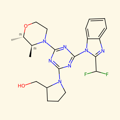 C[C@@H]1OCCN(c2nc(N3CCCC3CO)nc(-n3c(C(F)F)nc4ccccc43)n2)[C@H]1C